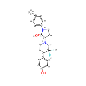 O=C1[C@@H](N2CCC(c3ccc(O)cc3)C(F)(F)C2)CCN1c1ccc(C(F)(F)F)cc1